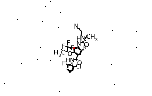 CC(Oc1cc(NC(=O)N(C)CCC#N)c(F)cc1C(=O)Nc1c(F)cccc1Cl)C(F)(F)F